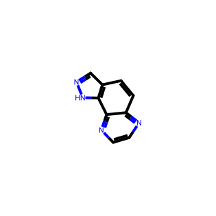 c1cnc2c(ccc3cn[nH]c32)n1